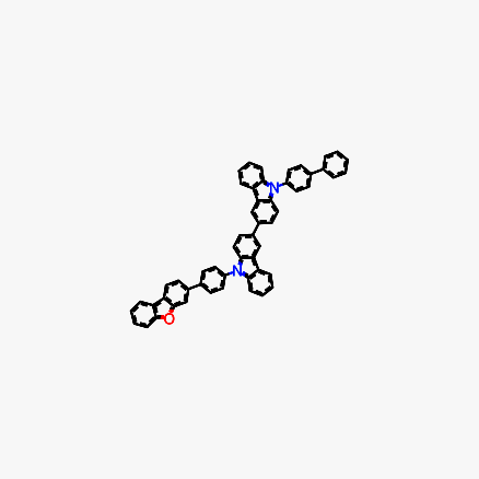 c1ccc(-c2ccc(-n3c4ccccc4c4cc(-c5ccc6c(c5)c5ccccc5n6-c5ccc(-c6ccc7c(c6)oc6ccccc67)cc5)ccc43)cc2)cc1